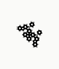 c1ccc(-n2c3ccc(C4(c5ccc6c(c5)c5c7c(ccc5n6-c5ccccc5)-c5ccccc5C7)c5ccccc5-c5ccccc54)cc3c3c4c(ccc32)-c2ccccc2C4)cc1